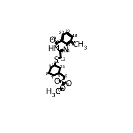 COS(=O)(=O)CC1CCCC(SCc2nc3c(C)cccc3c(=O)[nH]2)C1